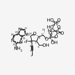 CC#CC1(F)C(CO)[C@@H]([C@H](C)OP(=O)(O)OP(=O)(O)OP(=O)(O)O)O[C@H]1n1cnc2cnc(N)nc21